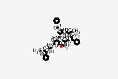 CCCC(NC(=O)[C@@H]1CN(C(=O)Oc2ccccc2)C[C@@H]1NC(=O)[C@@H](NC(=O)[C@@H](NC(=O)c1cnccn1)C1CCCCC1)C(C)(C)C)C(=O)C(=O)NCC(=O)N[C@H](C(=O)N(C)C)c1ccccc1